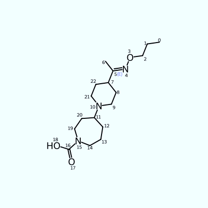 CCCO/N=C(\C)C1CCN(C2CCCN(C(=O)O)CC2)CC1